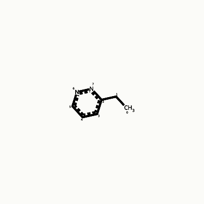 C[CH]c1cccnn1